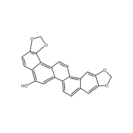 Oc1cc2c3ccc4cc5c(cc4c3ncc2c2c3c(ccc12)OCO3)OCO5